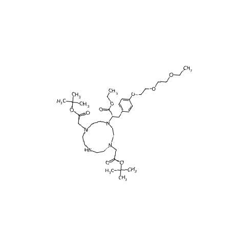 CCOCCOCCOc1ccc(CC(C(=O)OCC)N2CCN(CC(=O)OC(C)(C)C)CCNCCN(CC(=O)OC(C)(C)C)CC2)cc1